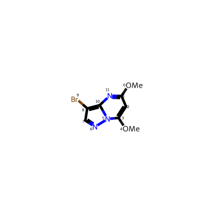 COc1cc(OC)n2ncc(Br)c2n1